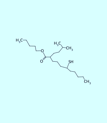 CCCCCOC(=O)C(CCCC(S)CCCCC)CCC(C)C